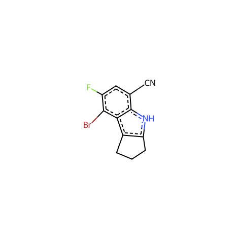 N#Cc1cc(F)c(Br)c2c3c([nH]c12)CCC3